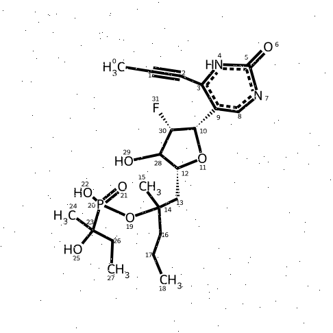 CC#Cc1[nH]c(=O)ncc1[C@@H]1O[C@H](CC(C)(CCC)OP(=O)(O)C(C)(O)CC)C(O)[C@@H]1F